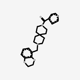 O=C(c1ccncc1)N1CCC2(CCN(Cc3cccc4c3OCCO4)CC2)CC1